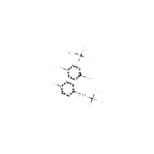 CC(C)(C)c1ccc(I)cc1.CC(C)(C)c1ccc(I)cc1.O=S(=O)(O)C(F)(C(F)(F)F)S(=O)(=O)O.O=S(=O)(O)C(F)(C(F)(F)F)S(=O)(=O)O